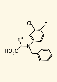 CCCC(C(=O)O)N(Cc1ccccc1)c1ccc(F)c(Cl)c1